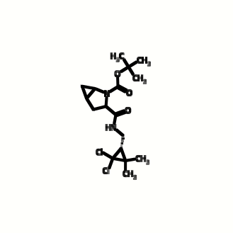 CC(C)(C)OC(=O)N1C(C(=O)NC[C@@H]2C(C)(C)C2(Cl)Cl)CC2CC21